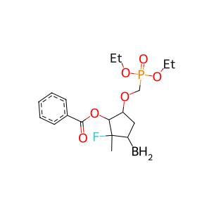 BC1CC(OCP(=O)(OCC)OCC)C(OC(=O)c2ccccc2)C1(C)F